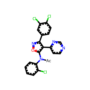 CC(=O)N(c1ccccc1Cl)c1onc(-c2ccc(Cl)c(Cl)c2)c1-c1ccncn1